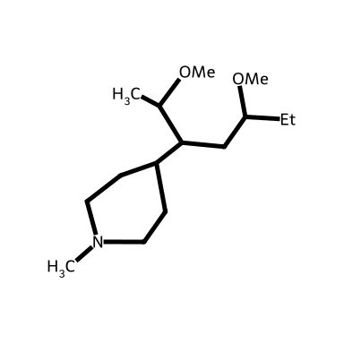 CCC(CC(C1CCN(C)CC1)C(C)OC)OC